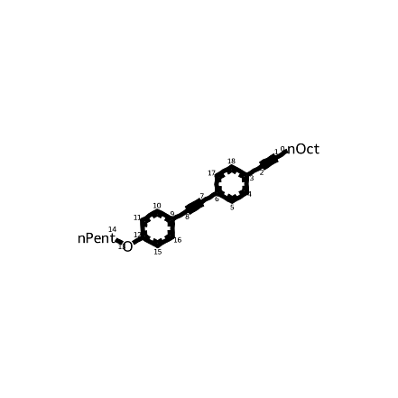 CCCCCCCCC#Cc1ccc(C#Cc2ccc(OCCCCC)cc2)cc1